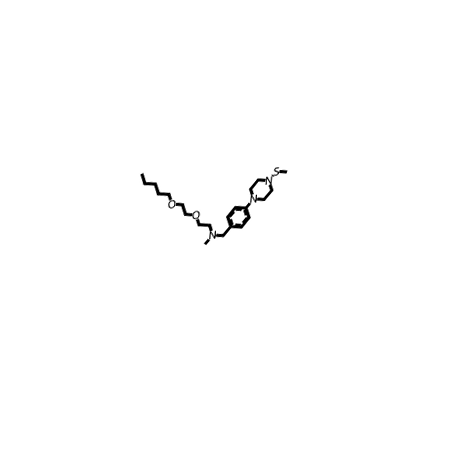 CCCCCOCCOCCN(C)Cc1ccc(N2CCN(SC)CC2)cc1